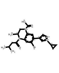 CC(C)CC(=O)N1c2cc(Br)c(-c3cnn(C4CC4)c3)cc2N(C(=O)O)CC1C